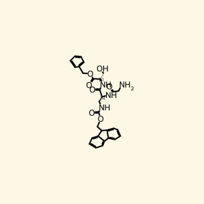 NCC(=O)N[C@@H](CNC(=O)OCC1c2ccccc2-c2ccccc21)C(=O)N[C@@H](CO)C(=O)OCc1ccccc1